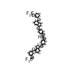 FC(F)(F)Oc1cccc(Oc2cccc3c2CC[C@H]3Oc2ccc(OBOc3ccc(O[C@@H]4CCc5c(Oc6cccc(OC(F)(F)F)c6)cccc54)cc3)cc2)c1